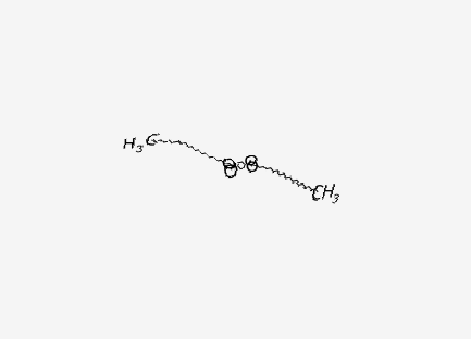 CCCCCCCCCCCCCCCCCCCCOC(=O)C1CCC(C(=O)OCCCCCCCCCCCCCCCCCCCC)CC1